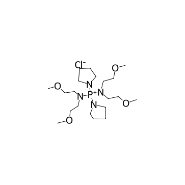 COCCN(CCOC)[P+](N1CCCC1)(N1CCCC1)N(CCOC)CCOC.[Cl-]